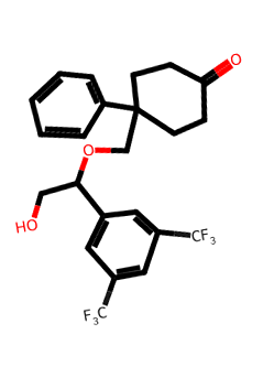 O=C1CCC(COC(CO)c2cc(C(F)(F)F)cc(C(F)(F)F)c2)(c2ccccc2)CC1